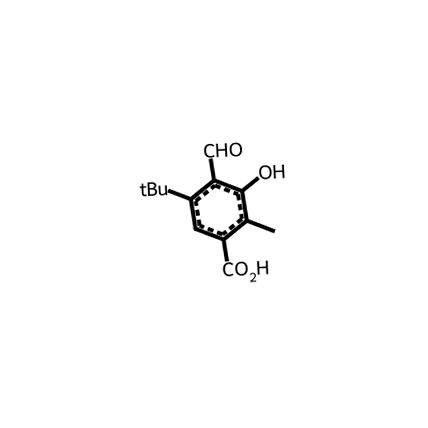 Cc1c(C(=O)O)cc(C(C)(C)C)c(C=O)c1O